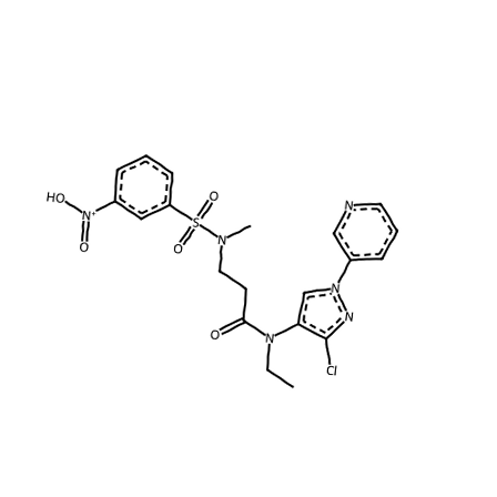 CCN(C(=O)CCN(C)S(=O)(=O)c1cccc([N+](=O)O)c1)c1cn(-c2cccnc2)nc1Cl